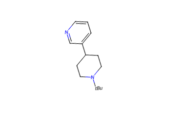 CC(C)(C)N1CCC(c2cccnc2)CC1